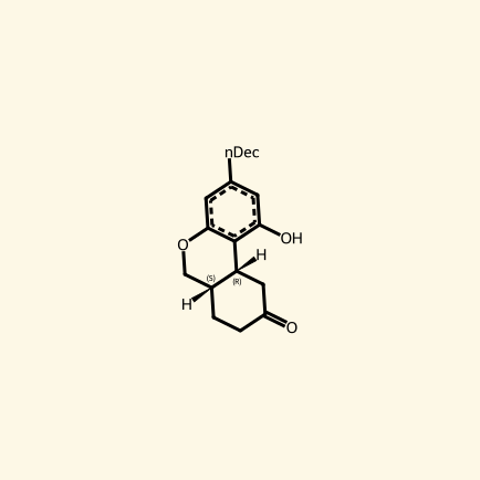 CCCCCCCCCCc1cc(O)c2c(c1)OC[C@H]1CCC(=O)C[C@@H]21